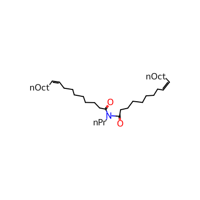 CCCCCCCC/C=C\CCCCCCCC(=O)N(CCC)C(=O)CCCCCCC/C=C\CCCCCCCC